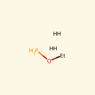 CCOP.[HH].[HH]